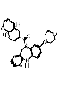 O=C([C@@H]1CC[C@H]2OCCC[C@H]2C1)N1Cc2cccnc2Nc2ccc(N3CCOCC3)cc21